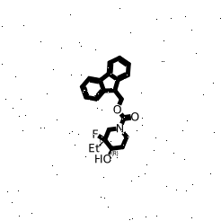 CC[C@]1(F)CN(C(=O)OCC2c3ccccc3-c3ccccc32)CC[C@H]1O